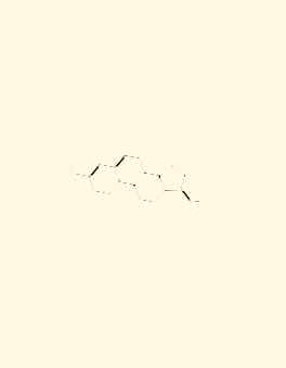 CC=C1CC[C@H]2[C@@H]3CC=C4C=C(OC)CC[C@@H]4[C@H]3CC[C@]12C